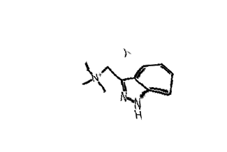 C[N+](C)(C)Cc1n[nH]c2ccccc12.[I-]